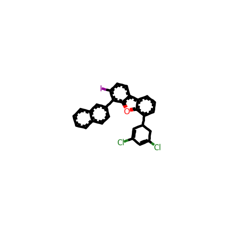 ClC1=CC(c2cccc3c2oc2c(-c4ccc5ccccc5c4)c(I)ccc23)CC(Cl)=C1